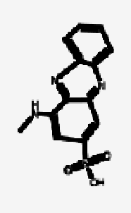 CNc1cc(S(=O)(=O)O)cc2nc3ccccc3nc12